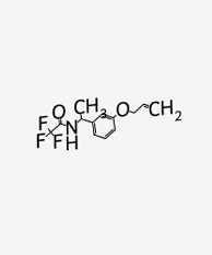 C=CCOc1cccc(C(C)NC(=O)C(F)(F)F)c1